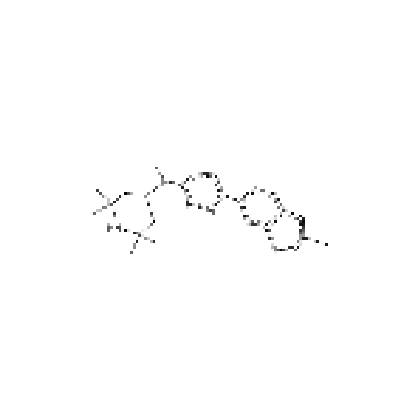 Cc1cnc2cc(-c3ccc(N(C)C4CC(C)(C)NC(C)(C)C4)nn3)ccc2c1